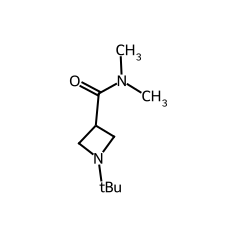 CN(C)C(=O)C1CN(C(C)(C)C)C1